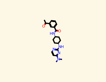 CC(=O)c1cccc(C(=O)N[C@H]2CC[C@@H](Nc3nccc(N(C)C)n3)CC2)c1